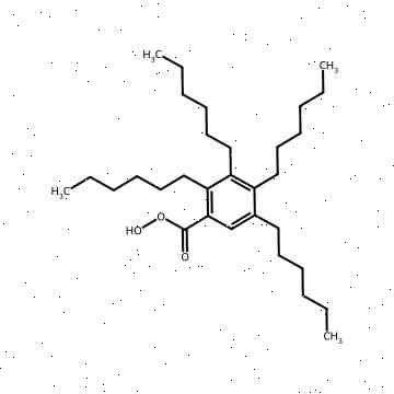 CCCCCCc1cc(C(=O)OO)c(CCCCCC)c(CCCCCC)c1CCCCCC